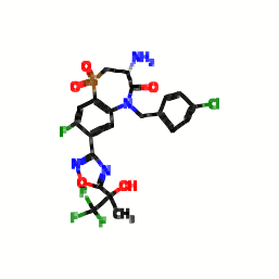 CC(O)(c1nc(-c2cc3c(cc2F)S(=O)(=O)C[C@H](N)C(=O)N3Cc2ccc(Cl)cc2)no1)C(F)(F)F